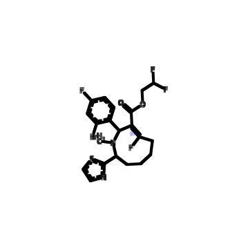 CN1C(c2nccs2)CCCC/C(F)=C(\C(=O)OCC(F)F)C1c1ccc(F)cc1Br